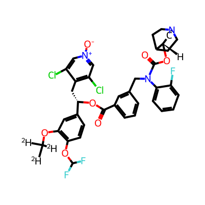 [2H]C([2H])([2H])Oc1cc([C@H](Cc2c(Cl)c[n+]([O-])cc2Cl)OC(=O)c2cccc(CN(C(=O)O[C@H]3CN4CCC3CC4)c3ccccc3F)c2)ccc1OC(F)F